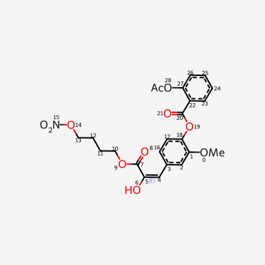 COc1cc(/C=C(/O)C(=O)OCCCCO[N+](=O)[O-])ccc1OC(=O)c1ccccc1OC(C)=O